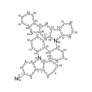 N#Cc1ccc2c(c1)c1ccccc1n2-c1ccccc1-c1ccccc1-n1c2ccccc2c2cc3c(cc21)sc1ccccc13